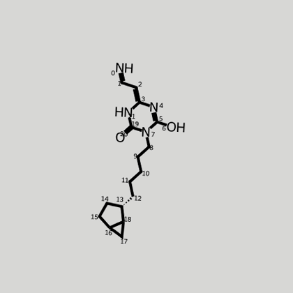 N=C/C=C1/N=C(O)N(CCCCC[C@H]2CCC3CC32)C(=O)N1